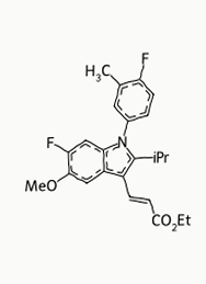 CCOC(=O)/C=C/c1c(C(C)C)n(-c2ccc(F)c(C)c2)c2cc(F)c(OC)cc12